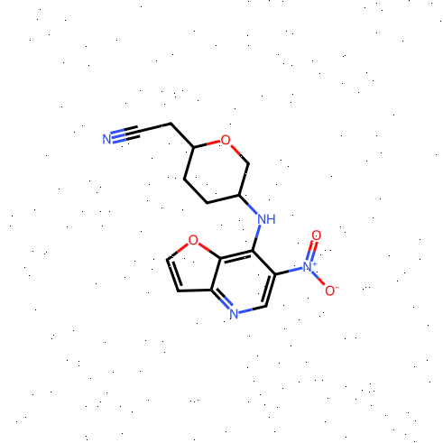 N#CCC1CCC(Nc2c([N+](=O)[O-])cnc3ccoc23)CO1